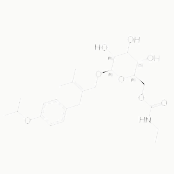 CCNC(=O)OC[C@H]1O[C@@H](OCC(Cc2ccc(OC(C)C)cc2)=C(C)C)[C@H](O)C(O)[C@@H]1O